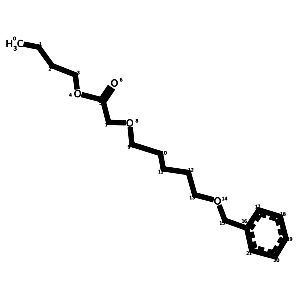 CCCCOC(=O)COCCCCCOCc1ccccc1